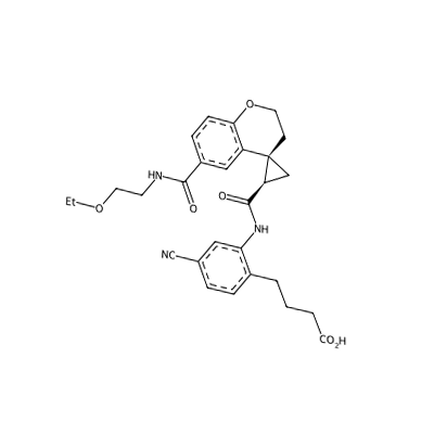 CCOCCNC(=O)c1ccc2c(c1)[C@]1(CCO2)C[C@H]1C(=O)Nc1cc(C#N)ccc1CCCC(=O)O